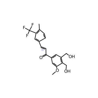 COc1cc(C(=O)/C=C/c2ccc(C)c(C(F)(F)F)c2)cc(CO)c1CO